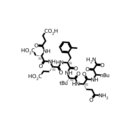 CCCCC(NC(=O)[C@H](CCC(N)=O)NC(=O)[C@@H](NC(=O)[C@H](Cc1ccccc1C)NC(=O)[C@H](CCC(=O)O)NC(=O)[C@H](CC(=O)O)NC(=O)CCC(=O)O)C(C)(C)C)C(=O)C(N)=O